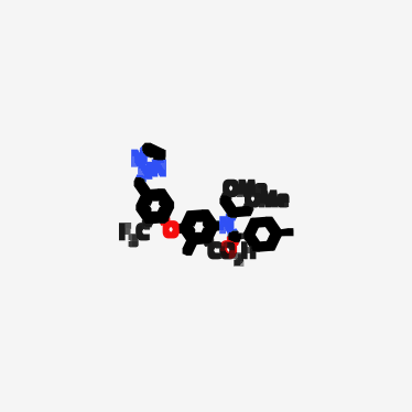 COCC(COC)N(c1ccc(Oc2ccc(Cn3nccn3)cc2C(F)(F)F)c(C)c1C(=O)O)C(=O)[C@H]1CC[C@H](C)CC1